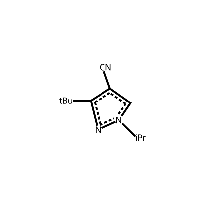 CC(C)n1cc(C#N)c(C(C)(C)C)n1